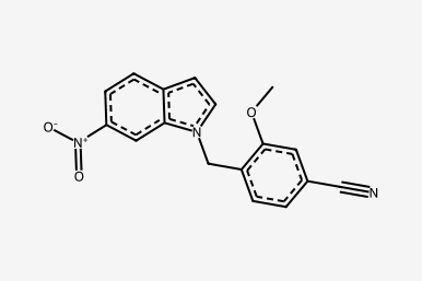 COc1cc(C#N)ccc1Cn1ccc2ccc([N+](=O)[O-])cc21